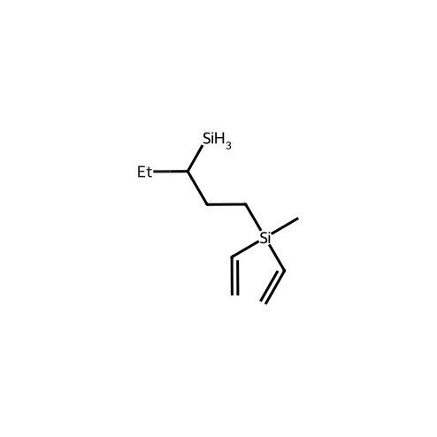 C=C[Si](C)(C=C)CCC([SiH3])CC